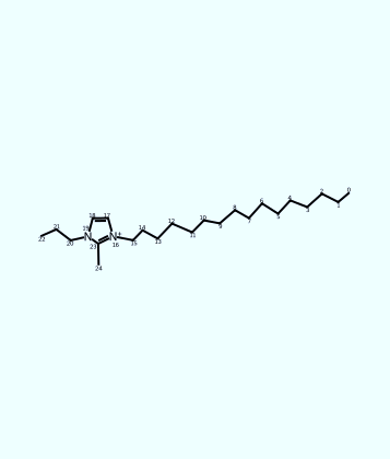 CCCCCCCCCCCCCCCC[n+]1ccn(CCC)c1C